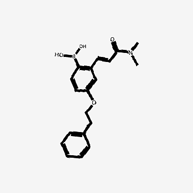 CN(C)C(=O)/C=C/c1cc(OCCc2ccccc2)ccc1B(O)O